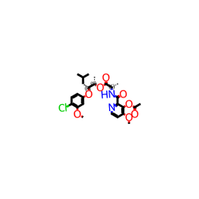 COc1cc(O[C@H](CC(C)C)[C@H](C)OC(=O)[C@H](C)NC(=O)c2nccc(OC)c2OC(C)=O)ccc1Cl